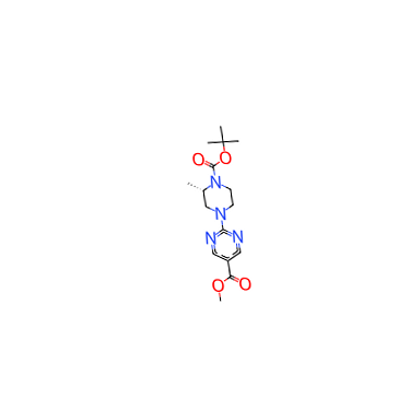 COC(=O)c1cnc(N2CCN(C(=O)OC(C)(C)C)[C@@H](C)C2)nc1